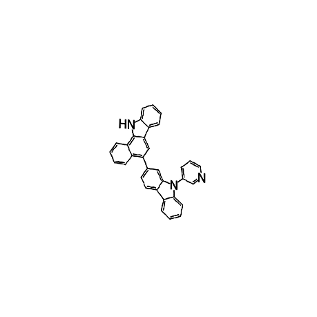 c1cncc(-n2c3ccccc3c3ccc(-c4cc5c6ccccc6[nH]c5c5ccccc45)cc32)c1